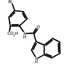 O=C(O)c1cc(Br)ccc1NC(=O)c1c[nH]c2ccccc12